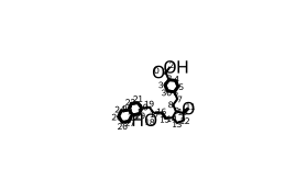 O=C(O)c1ccc(CCC2C(=O)CCC2C=CC(O)Cc2ccc3ccccc3c2)cc1